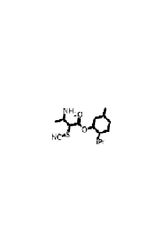 CC1CCC(C(C)C)C(OC(=O)C(SC#N)C(C)N)C1